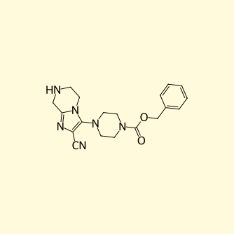 N#Cc1nc2n(c1N1CCN(C(=O)OCc3ccccc3)CC1)CCNC2